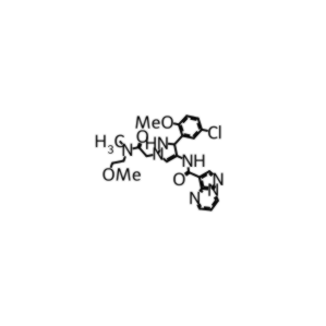 COCCN(C)C(=O)CN1C=C(NC(=O)c2cnn3cccnc23)C(c2cc(Cl)ccc2OC)N1